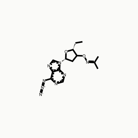 CC[C@H]1O[C@@H](n2cnc3c(N=[N+]=[N-])ncnc32)CC1ON=C(C)C